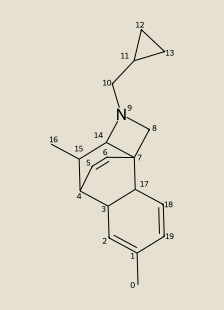 CC1=CC2C3C=CC4(CN(CC5CC5)C4C3C)C2C=C1